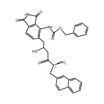 N[C@@H](Cc1ccc2ccccc2c1)C(=O)CC(O)Cc1ccc2c(c1NC(=O)OCc1ccccc1)C(=O)NC2=O